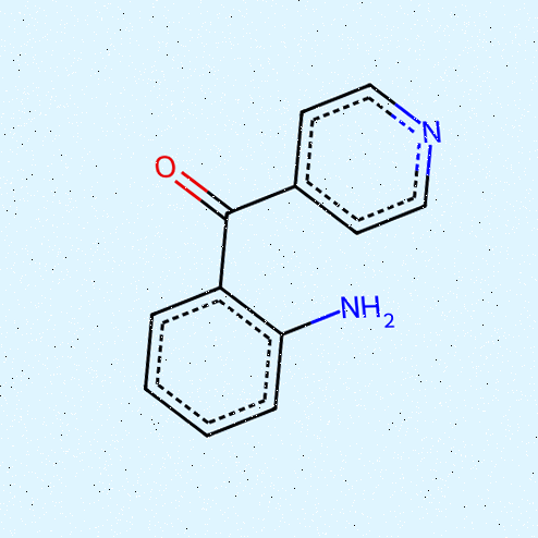 Nc1ccccc1C(=O)c1ccncc1